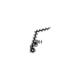 CCCCCCCC/C=C\CCCCCCC(CCOc1ccccc1)C(=O)O